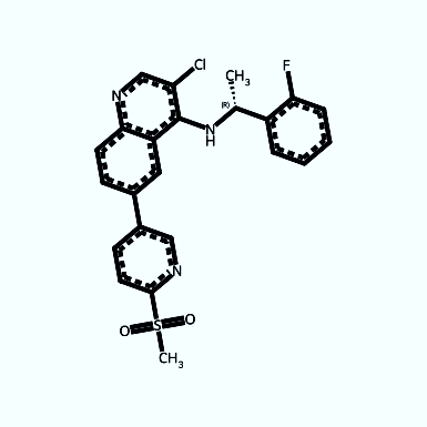 C[C@@H](Nc1c(Cl)cnc2ccc(-c3ccc(S(C)(=O)=O)nc3)cc12)c1ccccc1F